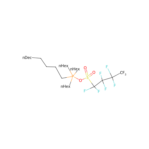 CCCCCCCCCCCCCCP(CCCCCC)(CCCCCC)(CCCCCC)OS(=O)(=O)C(F)(F)C(F)(F)C(F)(F)C(F)(F)F